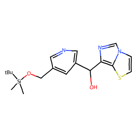 CC(C)(C)[Si](C)(C)OCc1cncc(C(O)c2ncn3ccsc23)c1